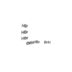 Br.Br.Br.Br.Br.Br.[Cr]